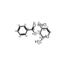 CO[C@H]1C=CO[C@@H](C)[C@@H]1OC(=O)c1ccccc1